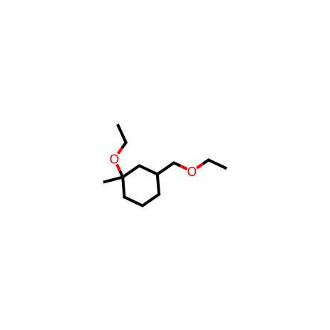 CCOCC1CCCC(C)(OCC)C1